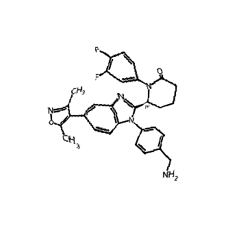 Cc1noc(C)c1-c1ccc2c(c1)nc([C@@H]1CCCC(=O)N1c1ccc(F)c(F)c1)n2-c1ccc(CN)cc1